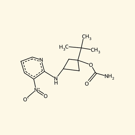 CC(C)(C)C1(OC(N)=O)CC(Nc2ncccc2[N+](=O)[O-])C1